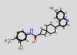 O=C(Nc1ccc(C(F)(F)F)c(Cl)c1)C1CC2(CCC(c3ccnc4ccc(F)cc34)CC2)C1